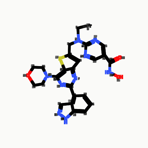 CC(C)CN(Cc1cc2nc(-c3cccc4[nH]ncc34)nc(N3CCOCC3)c2s1)c1ncc(C(=O)NO)cn1